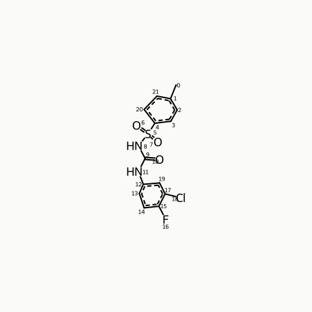 Cc1ccc(S(=O)(=O)NC(=O)Nc2ccc(F)c(Cl)c2)cc1